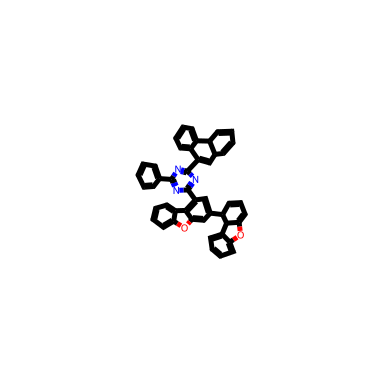 C1=CC2C=C(c3nc(-c4ccccc4)nc(-c4cc(C5C=CC=C6Oc7ccccc7C65)cc5oc6ccccc6c45)n3)c3ccccc3C2C=C1